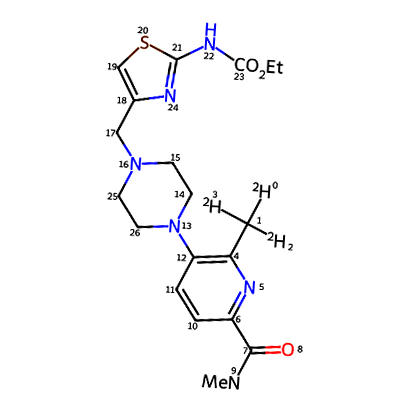 [2H]C([2H])([2H])c1nc(C(=O)NC)ccc1N1CCN(Cc2csc(NC(=O)OCC)n2)CC1